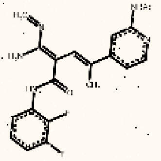 C=N/C(N)=C(\C=C(/C)c1ccnc(NC(C)=O)c1)C(=O)Nc1cccc(F)c1F